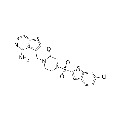 Nc1nccc2scc(CN3CCN(S(=O)(=O)c4cc5ccc(Cl)cc5s4)CC3=O)c12